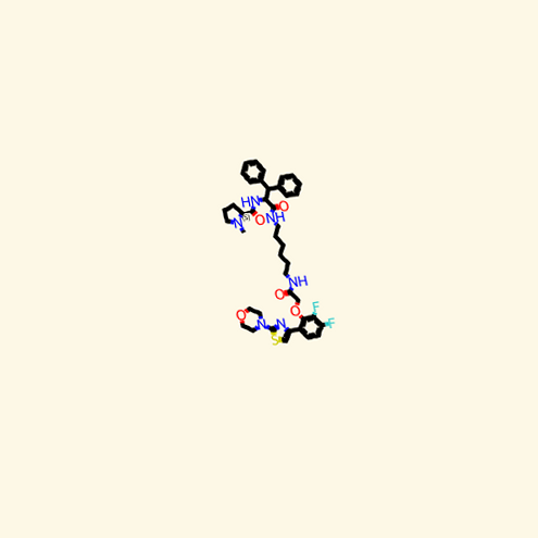 CN1CCC[C@H]1C(=O)NC(C(=O)NCCCCCCNC(=O)COc1c(-c2csc(N3CCOCC3)n2)ccc(F)c1F)C(c1ccccc1)c1ccccc1